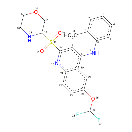 O=C(O)c1ccccc1Nc1cc(S(=O)(=O)C2COCCN2)nc2ccc(OC(F)F)cc12